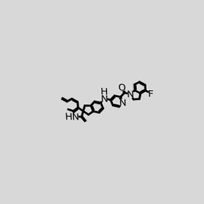 C=C/C=C\C1=C(C)NC(=C)C12Cc1ccc(Nc3ccnc(C(=O)N4CCc5c(F)cccc54)c3)cc1C2